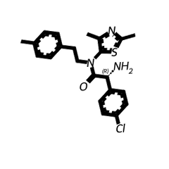 Cc1ccc(CCN(C(=O)[C@H](N)c2ccc(Cl)cc2)c2sc(C)nc2C)cc1